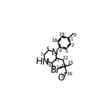 Cc1ccc(N2CCNC(Br)C2CC(C)(C)C=O)cc1